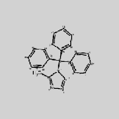 Cc1nnnn1C(c1ccccc1)(c1ccccc1)c1ccccc1